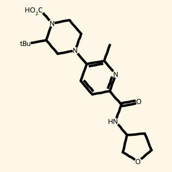 Cc1nc(C(=O)NC2CCOC2)ccc1N1CCN(C(=O)O)C(C(C)(C)C)C1